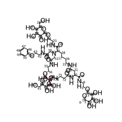 C[C@@H]1O[C@@H](OCCNC(=O)C(CC(=O)NCCCCC(C(=O)NCCO[C@H]2O[C@H](CO)[C@@H](O)[C@H](O)[C@@H]2O)N(CC(=O)NCCOc2ccccc2)CC(=O)NCCO[C@H]2O[C@H](CO)[C@@H](O)[C@H](O)[C@@H]2O)NC(=O)CCCCC(=O)O)[C@@H](O)[C@H](O)[C@@H]1O